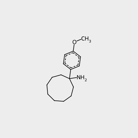 COc1ccc(C2(N)CCCCCCCC2)cc1